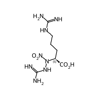 N=C(N)NCCC[C@@H](C(=O)O)N(NC(=N)N)[N+](=O)[O-]